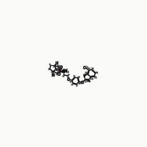 CS(=O)(=O)N1[C@@H]2CC[C@H]1CC(NCCOc1ccc(Oc3nc4cccc(Cl)c4s3)cc1)C2